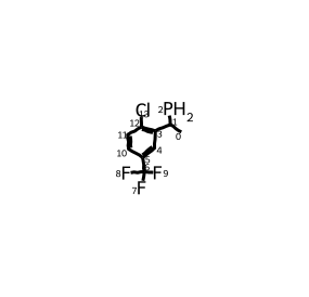 CC(P)c1cc(C(F)(F)F)ccc1Cl